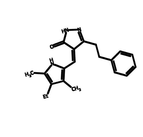 CCc1c(C)[nH]c(C=C2C(=O)NN=C2CCc2ccccc2)c1C